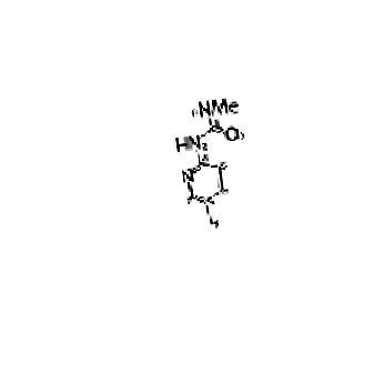 CNC(=O)Nc1ccc(C)cn1